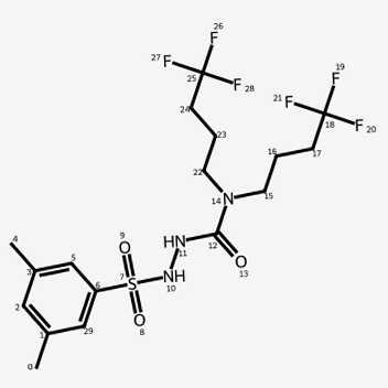 Cc1cc(C)cc(S(=O)(=O)NNC(=O)N(CCCC(F)(F)F)CCCC(F)(F)F)c1